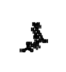 O.O.O.O.O.O.O.O=S(=O)(O)O.O=S(O)O.[NaH].[NaH]